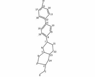 CCC1CCC2CC(c3ccc(-c4ccc(C)cc4)cc3)CCC2C1